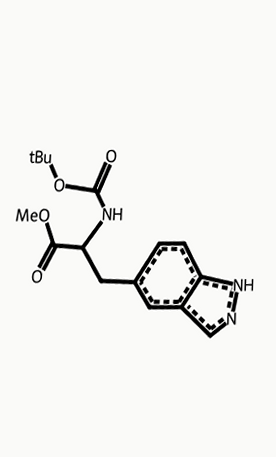 COC(=O)C(Cc1ccc2[nH]ncc2c1)NC(=O)OC(C)(C)C